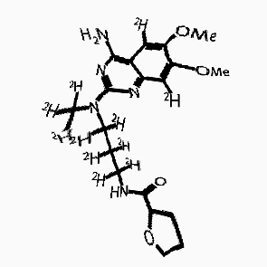 [2H]c1c(OC)c(OC)c([2H])c2c(N)nc(N(C([2H])([2H])[2H])C([2H])([2H])C([2H])([2H])C([2H])([2H])NC(=O)C3CCCO3)nc12